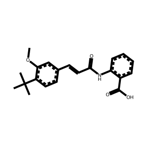 COc1cc(/C=C/C(=O)Nc2ccccc2C(=O)O)ccc1C(C)(C)C